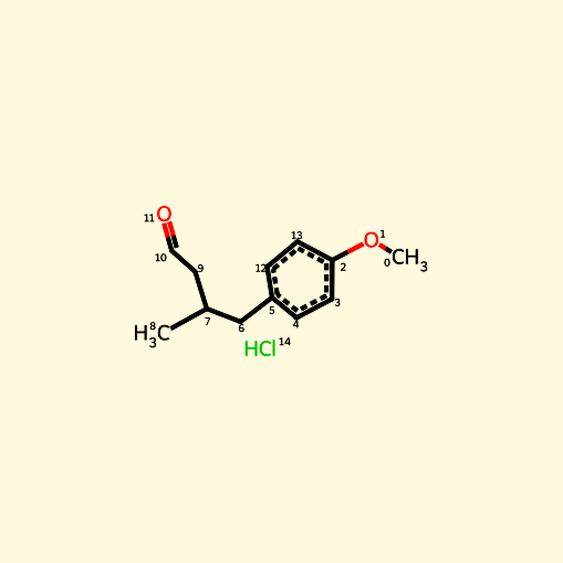 COc1ccc(CC(C)CC=O)cc1.Cl